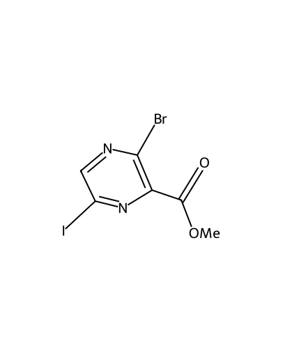 COC(=O)c1nc(I)cnc1Br